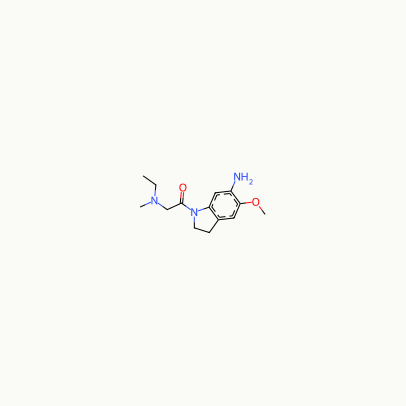 CCN(C)CC(=O)N1CCc2cc(OC)c(N)cc21